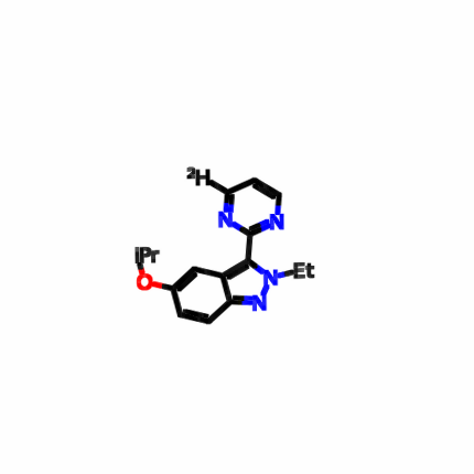 [2H]c1ccnc(-c2c3cc(OC(C)C)ccc3nn2CC)n1